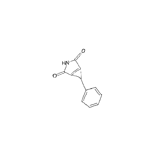 O=C1NC(=O)C2=C1C2c1ccccc1